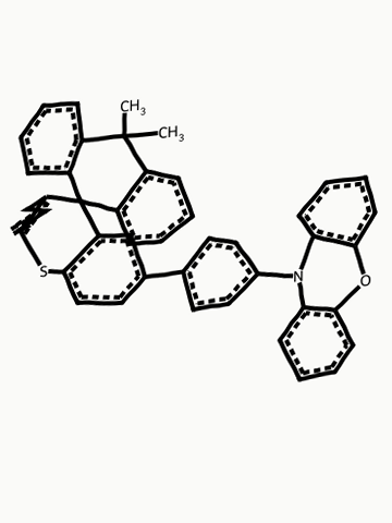 CC1(C)c2ccccc2C2(c3ccccc3Sc3ccc(-c4ccc(N5c6ccccc6Oc6ccccc65)cc4)cc32)c2ccccc21